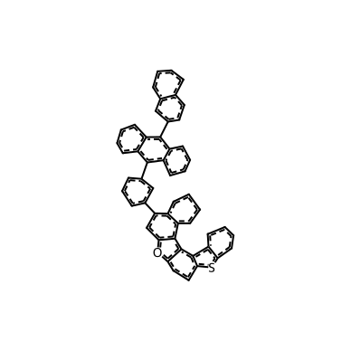 c1cc(-c2c3ccccc3c(-c3ccc4ccccc4c3)c3ccccc23)cc(-c2cc3oc4ccc5sc6ccccc6c5c4c3c3ccccc23)c1